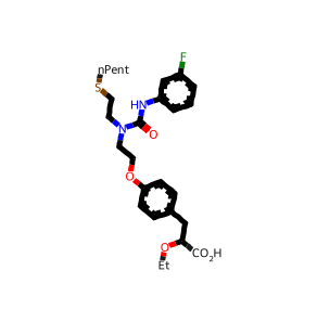 CCCCCSCCN(CCOc1ccc(CC(OCC)C(=O)O)cc1)C(=O)Nc1cccc(F)c1